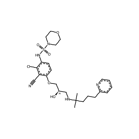 CC(C)(CCCc1ccccn1)NC[C@@H](O)COc1ccc(NS(=O)(=O)N2CCOCC2)c(Cl)c1C#N